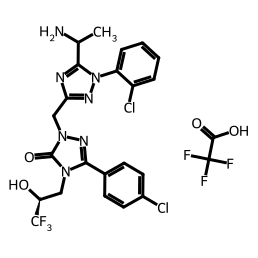 CC(N)c1nc(Cn2nc(-c3ccc(Cl)cc3)n(C[C@H](O)C(F)(F)F)c2=O)nn1-c1ccccc1Cl.O=C(O)C(F)(F)F